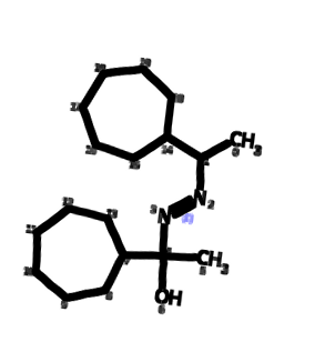 CC(/N=N/C(C)(O)C1CCCCCC1)C1CCCCCC1